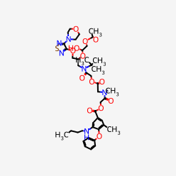 CCCCNc1cc(C(=O)OCC(=O)N(C)CC(=O)OCC(=O)N(C[C@@H](COc2nsnc2N2CCOCC2)OC(O)COC(C)=O)C(C)(C)C)cc(C)c1Oc1ccccc1